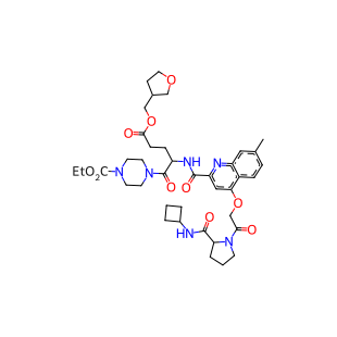 CCOC(=O)N1CCN(C(=O)C(CCC(=O)OCC2CCOC2)NC(=O)c2cc(OCC(=O)N3CCCC3C(=O)NC3CCC3)c3ccc(C)cc3n2)CC1